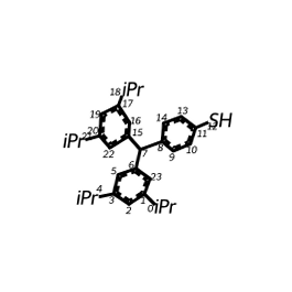 CC(C)c1cc(C(C)C)cc(C(c2ccc(S)cc2)c2cc(C(C)C)cc(C(C)C)c2)c1